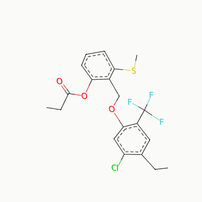 CCC(=O)Oc1cccc(SC)c1COc1cc(Cl)c(CC)cc1C(F)(F)F